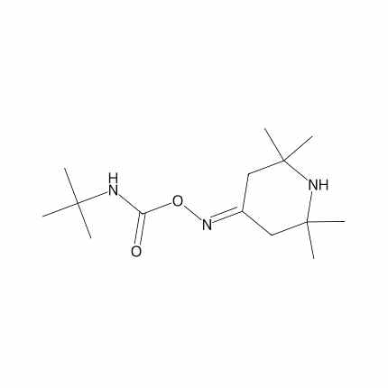 CC(C)(C)NC(=O)ON=C1CC(C)(C)NC(C)(C)C1